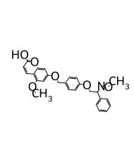 CON=C(COc1ccc(COc2ccc(/C=C\C(=O)O)c(OC)c2)cc1)c1ccccc1